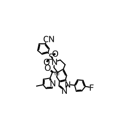 Cc1ccnc(C(=O)[C@]23Cc4cnn(-c5ccc(F)cc5)c4C=C2CCN(S(=O)(=O)c2cccc(C#N)c2)C3)c1